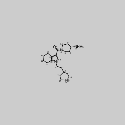 CC(=O)NC1CCN(C(=O)c2nn(CCC3CCNCC3)c3c2CCCC3)CC1